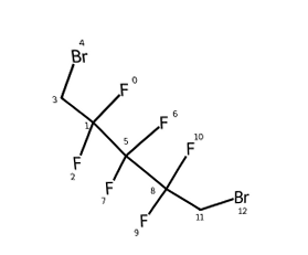 FC(F)(CBr)C(F)(F)C(F)(F)CBr